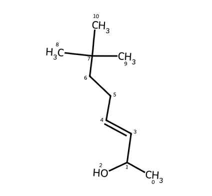 CC(O)C=CCCC(C)(C)C